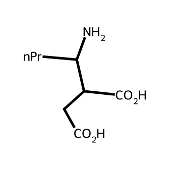 CCCC(N)C(CC(=O)O)C(=O)O